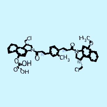 COc1cc2c(c3ccccc13)[C@H](CCl)CN2C(=O)/C=C/c1ccc(/C=C/C(=O)N2C[C@@H](CCl)c3c2cc(OP(=O)(O)O)c2ccccc32)cc1C